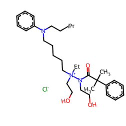 CC[N+](CCO)(CCCCCN(CCC(C)C)c1ccccc1)N(CCO)C(=O)C(C)(C)c1ccccc1.[Cl-]